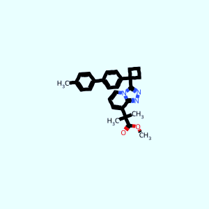 COC(=O)C(C)(C)c1cccn2c(C3(c4ccc(-c5ccc(C)cc5)cc4)CCC3)nnc12